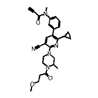 C#CC(=O)N(C)c1cccc(-c2cc(C#N)c(N3CCN(C(=O)CCOC)C(C)C3)nc2C2CC2)c1